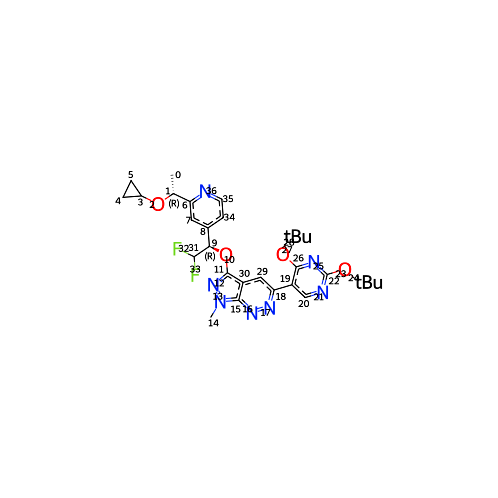 C[C@@H](OC1CC1)c1cc([C@@H](Oc2nn(C)c3nnc(-c4cnc(OC(C)(C)C)nc4OC(C)(C)C)cc23)C(F)F)ccn1